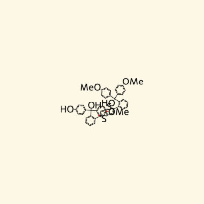 COc1ccc(C(O)(c2ccc(O)cc2)c2ccccc2-c2cc3sc(-c4ccccc4C(O)(c4ccc(OC)cc4)c4ccc(OC)cc4)cc3s2)cc1